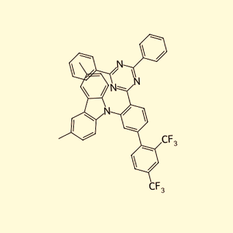 Cc1ccc2c(c1)c1cc(C)ccc1n2-c1cc(-c2ccc(C(F)(F)F)cc2C(F)(F)F)ccc1-c1nc(-c2ccccc2)nc(-c2ccccc2)n1